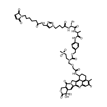 CC[C@@]1(O)C(=O)OCc2c1cc1n(c2=O)Cc2c-1nc1cc(F)c(C)c3c1c2C(NC(=O)COCN(CCS(C)(=O)=O)C(=O)OCc1ccc(NC(=O)C(C)NC(=O)[C@@H](NC(=O)CCCn2cc(CNC(=O)CCCCCN4C(=O)C=CC4=O)nn2)C(C)C)cc1)CC3